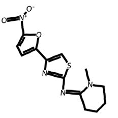 CN1CCCC/C1=N/c1nc(-c2ccc([N+](=O)[O-])o2)cs1